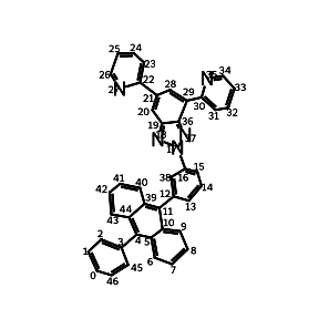 c1ccc(-c2c3ccccc3c(-c3cccc(-n4nc5cc(-c6ccccn6)cc(-c6ccccn6)c5n4)c3)c3ccccc23)cc1